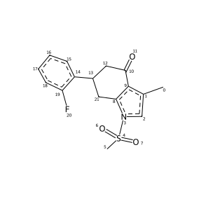 Cc1cn(S(C)(=O)=O)c2c1C(=O)CC(c1ccccc1F)C2